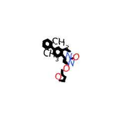 Cc1cccc(C)c1-c1ccc2c(c1)CCn1c-2cc(OCC2CCCO2)nc1=O